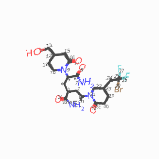 CCC(CC(CC(C(N)=O)N1CCC(CO)CC1=O)C(N)=O)N1CC(CC(F)(F)Br)CCC1=O